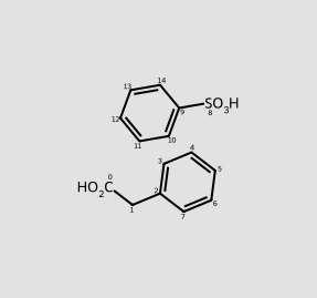 O=C(O)Cc1ccccc1.O=S(=O)(O)c1ccccc1